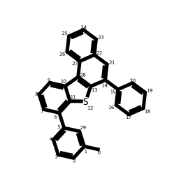 Cc1cccc(-c2cccc3c2sc2c(-c4ccccc4)cc4ccccc4c23)c1